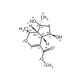 COC(=O)C1=CO[C@@H](C)[C@H]2[C@@H]1[C@H](O)C[C@]2(C)O